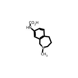 CN1CCCc2ccc(NC(=O)O)cc2C1